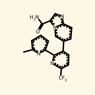 Cc1cccc(-c2nc(C(F)(F)F)ccc2-c2ccc3ncc(C(N)=O)n3c2)n1